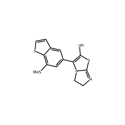 CCCC1=C(c2cc(SC)c3sccc3c2)N2CCN=C2S1